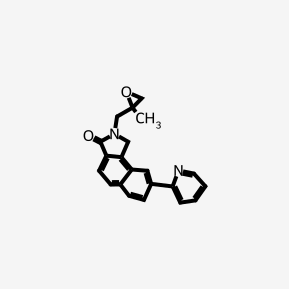 CC1(CN2Cc3c(ccc4ccc(-c5ccccn5)cc34)C2=O)CO1